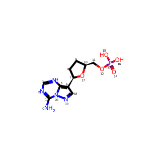 Nc1ncnc2c([C@H]3CC[C@@H](COP(=O)(O)O)O3)cnn12